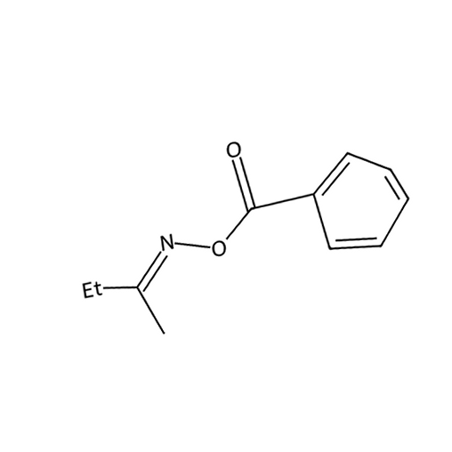 CCC(C)=NOC(=O)c1ccccc1